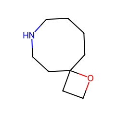 C1CCC2(CCNC1)CCO2